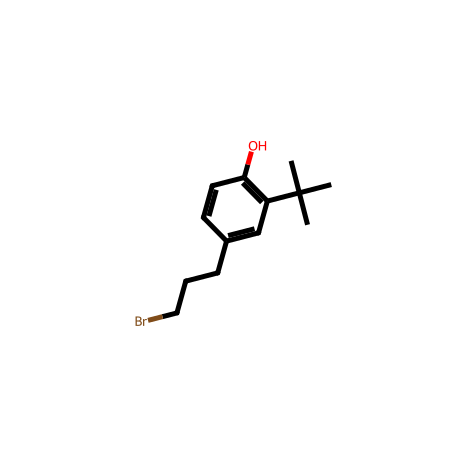 CC(C)(C)c1cc(CCCBr)ccc1O